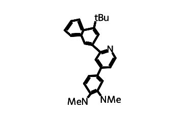 CNc1ccc(-c2ccnc(-c3cc(C(C)(C)C)c4ccccc4c3)c2)cc1NC